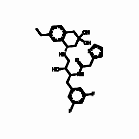 CCc1ccc2c(c1)[C@@H](NC[C@H](O)[C@H](Cc1cc(F)cc(F)c1)NC(=O)Cc1cccs1)CS(O)(O)C2